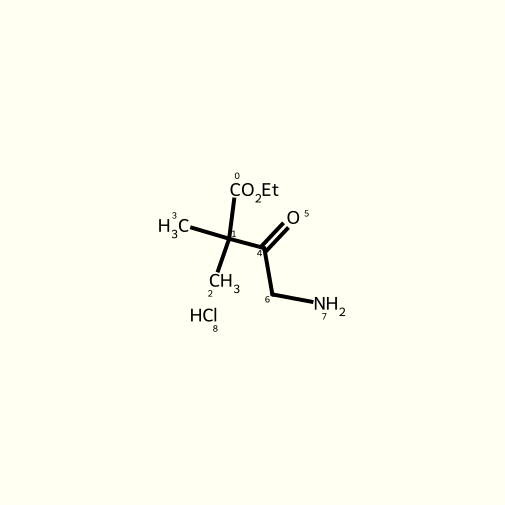 CCOC(=O)C(C)(C)C(=O)CN.Cl